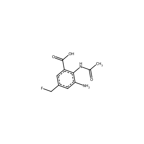 CC(=O)Nc1c(N)cc(CF)cc1C(=O)O